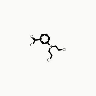 O=C(Cl)c1cccc(N(CCCl)CCCl)c1